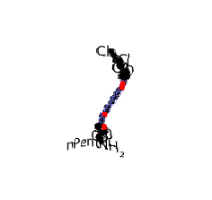 CCCCCC(N)C(=O)OC1CC(C)(C)C(/C=C/C(C)=C/C=C/C(C)=C/C=C/C=C(C)/C=C/C=C(C)/C=C/C2=C(C)C(=O)C(OC(=O)C(Cl)CCCCCl)CC2(C)C)=C(C)C1=O